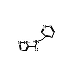 O=C(NCc1cccnc1)c1ccn[nH]1